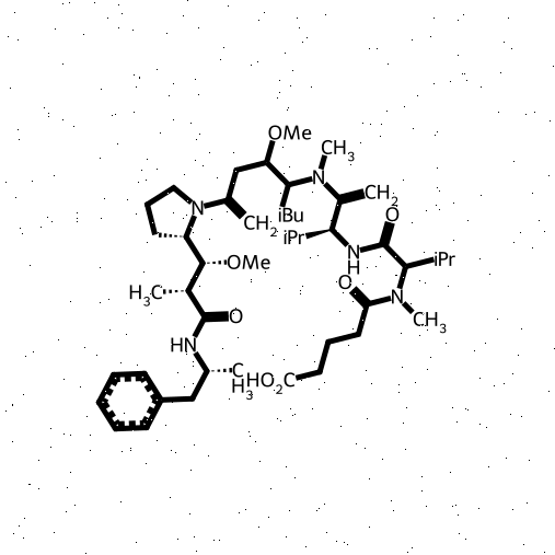 C=C([C@@H](NC(=O)C(C(C)C)N(C)C(=O)CCCC(=O)O)C(C)C)N(C)C(C(C)CC)C(CC(=C)N1CCC[C@H]1[C@H](OC)[C@@H](C)C(=O)N[C@H](C)Cc1ccccc1)OC